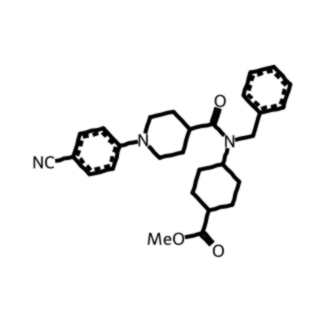 COC(=O)C1CCC(N(Cc2ccccc2)C(=O)C2CCN(c3ccc(C#N)cc3)CC2)CC1